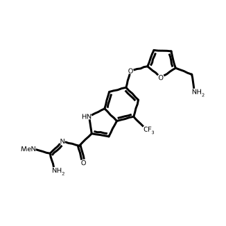 CNC(N)=NC(=O)c1cc2c(C(F)(F)F)cc(Oc3ccc(CN)o3)cc2[nH]1